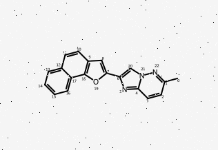 Cc1ccc2nc(-c3cc4ccc5ccccc5c4o3)cn2n1